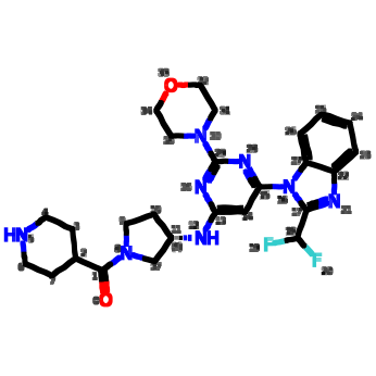 O=C(C1CCNCC1)N1CC[C@H](Nc2cc(-n3c(C(F)F)nc4ccccc43)nc(N3CCOCC3)n2)C1